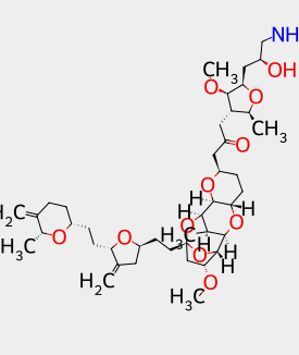 C=C1C[C@H](CC[C@]23C[C@@H](OC)[C@H](O2)[C@@H]2O[C@H]4CC[C@H](CC(=O)C[C@@H]5[C@@H](OC)[C@@H](C[C@H](O)CN)O[C@H]5C)O[C@@H]4[C@H](O3)[C@@H]2C)O[C@H]1CC[C@H]1CCC(=C)[C@@H](C)O1